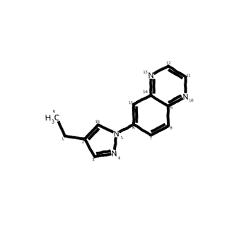 CCc1cnn(-c2ccc3nccnc3c2)c1